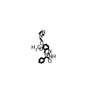 COc1c(OCCn2ccnc2)ccc2c1CN1C(=N2)NC(=O)C1c1ccccc1